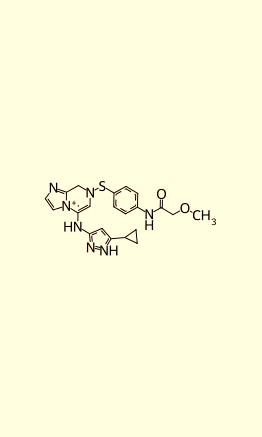 COCC(=O)Nc1ccc(SN2C=C(Nc3cc(C4CC4)[nH]n3)[N+]3C=CN=C3C2)cc1